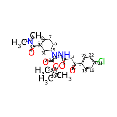 CN(C)C(=O)[C@H]1CCCC(N(NC(=O)CC(=O)c2ccc(Cl)cc2)C(=O)OC(C)(C)C)C1